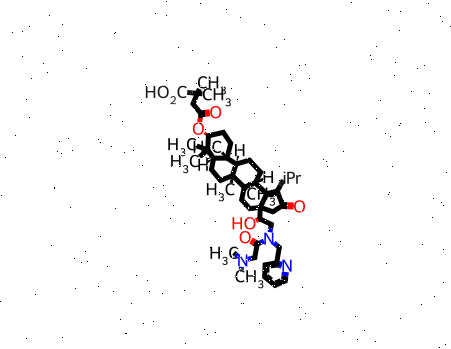 CC(C)C1=C2[C@H]3CC[C@@H]4[C@@]5(C)CC[C@H](OC(=O)CC(C)(C)C(=O)O)C(C)(C)[C@@H]5CC[C@@]4(C)[C@]3(C)CCC2(C(O)CN(Cc2ccccn2)C(=O)CN(C)C)CC1=O